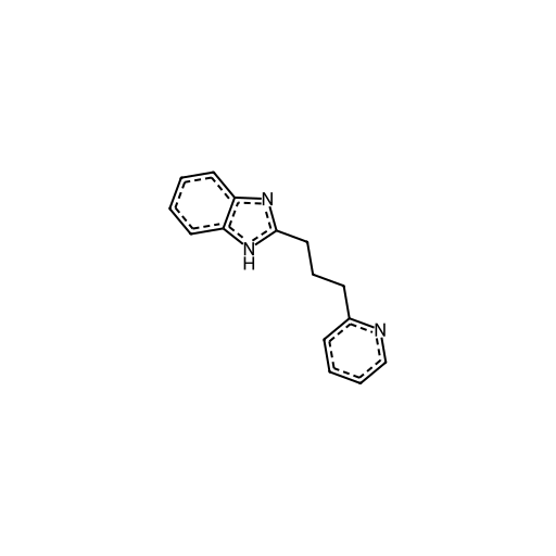 c1ccc(CCCc2nc3ccccc3[nH]2)nc1